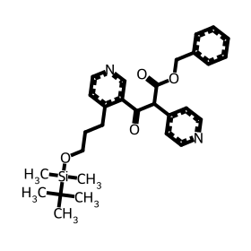 CC(C)(C)[Si](C)(C)OCCCc1ccncc1C(=O)C(C(=O)OCc1ccccc1)c1ccncc1